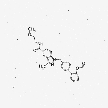 COCCNC(=O)c1ccc2c(c1)c(C)nn2Cc1ccc(-c2ccccc2OC=O)cc1